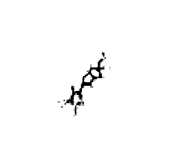 CSCC1(O)CC2CC(c3nn(C)c(N)c3C)CC2C1